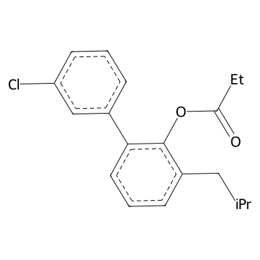 CCC(=O)Oc1c(CC(C)C)cccc1-c1cccc(Cl)c1